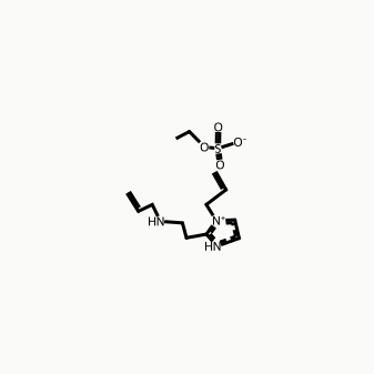 C=CCNCCc1[nH]cc[n+]1CC=C.CCOS(=O)(=O)[O-]